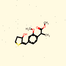 COC(=O)C(C)c1ccc(C=C2SCCC2O)cc1OC